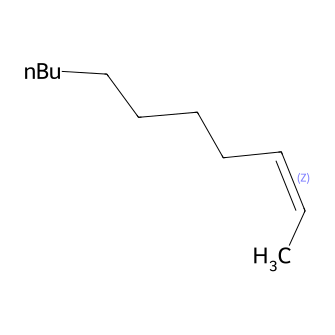 [CH2]CCCCCCC/C=C\C